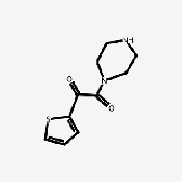 O=C(C(=O)N1CCNCC1)c1cccs1